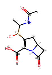 CC(=O)NC(C)[S+]([O-])C1=C(C(=O)O)N2C(=O)CC2C1